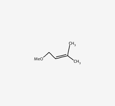 [CH2]OCC=C(C)C